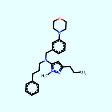 CCCc1cc(N(CCCc2ccccc2)Cc2cccc(N3CCOCC3)c2)n(C)n1